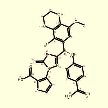 COc1cc([C@H](Nc2ccc(C(=N)N)cc2)c2nn(-c3ccsc3C(=O)O)c(=O)[nH]2)c(F)c2c1OCCO2